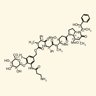 CC[C@H](C)[C@H]([C@@H](CC(=O)N1CCC[C@H]1[C@H](OC)[C@@H](C)C(=O)N[C@H](C)[C@@H](O)c1ccccc1)OC)N(C)C(=O)[C@@H](NC(=O)[C@H](C(C)C)N(C)C(=O)OCc1cc(F)c(O[C@@H]2O[C@H](C(=O)O)[C@@H](O)[C@H](O)[C@H]2O)c(NC(=O)CCN)c1)C(C)C